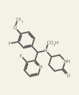 O=C1CCC(N(C(=O)O)C(c2ccc(OC(F)(F)F)c(F)c2)c2ncccc2F)CN1